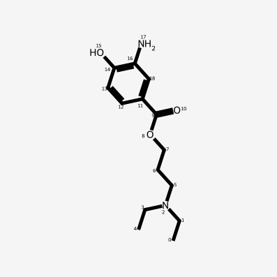 CCN(CC)CCCOC(=O)c1ccc(O)c(N)c1